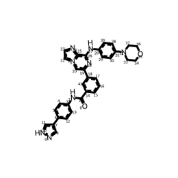 O=C(Nc1ccc(-c2cn[nH]c2)cc1)c1cccc(-c2cn3ccnc3c(Nc3ccc(N4CCOCC4)cc3)n2)c1